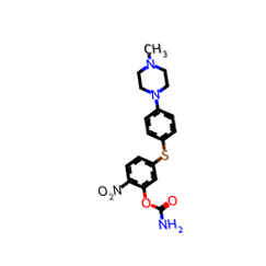 CN1CCN(c2ccc(Sc3ccc([N+](=O)[O-])c(OC(N)=O)c3)cc2)CC1